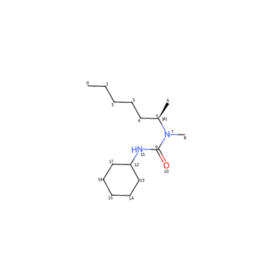 CCCCC[C@@H](C)N(C)C(=O)NC1CCCCC1